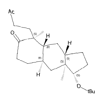 CC(=O)CC[C@]1(C)C(=O)CC[C@@H]2C[C@@]3(C)[C@@H](CC[C@@H]3OC(C)(C)C)C[C@H]21